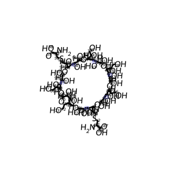 N[C@H](CSCC[C@H]1O[C@@H](O)/C(O)=C(/O)[C@@H](CCO)O[C@@H](O)/C(O)=C(/O)[C@@H](CCO)O[C@@H](O)/C(O)=C(\O)[C@@H](CCO)O[C@H](O)/C(O)=C(\O)[C@@H](CCSC[C@@H](N)C(=O)O)O[C@H](O)/C(O)=C(\O)[C@@H](CCO)O[C@@H]2OC(CO)[C@@H](O[C@@H](O)/C(O)=C\1O)[C@H](O)C2O)C(=O)O